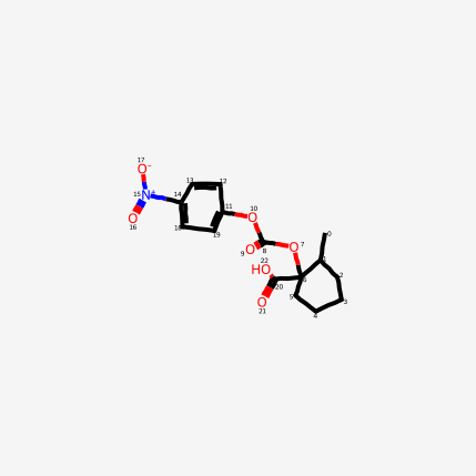 CC1CCCCC1(OC(=O)Oc1ccc([N+](=O)[O-])cc1)C(=O)O